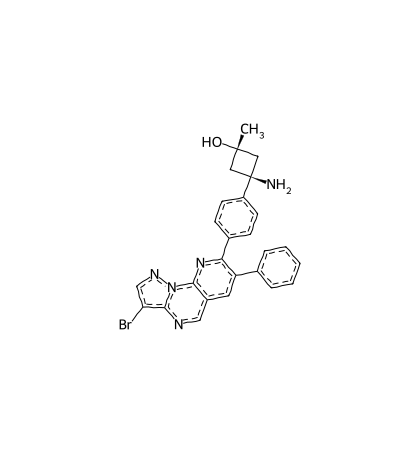 C[C@]1(O)C[C@@](N)(c2ccc(-c3nc4c(cnc5c(Br)cnn54)cc3-c3ccccc3)cc2)C1